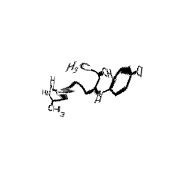 C=C(C)C(CCN1CC(C)NN1)Nc1ccc(Cl)cc1